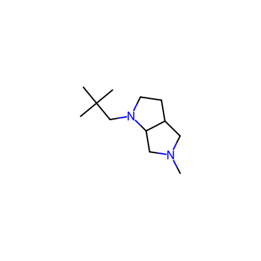 CN1CC2CCN(CC(C)(C)C)C2C1